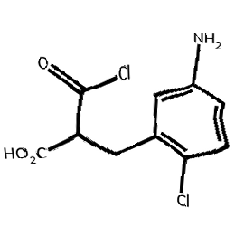 Nc1ccc(Cl)c(CC(C(=O)O)C(=O)Cl)c1